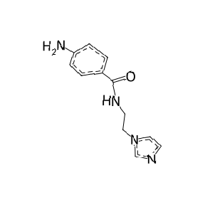 Nc1ccc(C(=O)NCCn2ccnc2)cc1